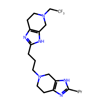 CC(C)c1nc2c([nH]1)CN(CCCc1nc3c([nH]1)CN(CC(F)(F)F)CC3)CC2